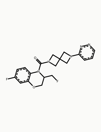 O=C(N1CC2(C1)CN(c1cccnn1)C2)N1c2ccc(F)cc2OCC1CF